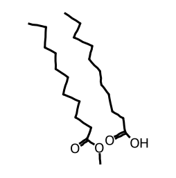 CCCCCCCCCCC(=O)O.CCCCCCCCCCC(=O)OC